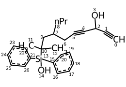 C#CC(O)C#CCC(CCC)CC(C)(C)[Si](O)(c1ccccc1)c1ccccc1